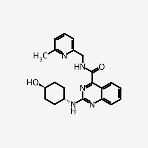 Cc1cccc(CNC(=O)c2nc(N[C@H]3CC[C@H](O)CC3)nc3ccccc23)n1